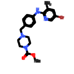 CCCCOC(=O)N1CCN(Cc2ccc(Nc3ncc(Br)cc3[N+](=O)[O-])cc2)CC1